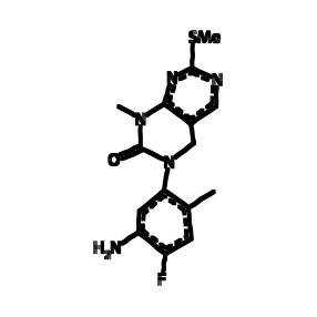 CSc1ncc2c(n1)N(C)C(=O)N(c1cc(N)c(F)cc1C)C2